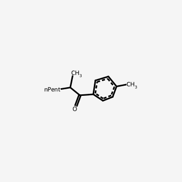 CCCCCC(C)C(=O)c1ccc(C)cc1